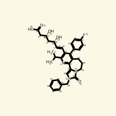 CC(C)c1nc2c(c(-c3ccc(F)cc3)c1/C=C/[C@@H](O)C[C@@H](O)CC(=O)O)CCCn1c-2cn(Cc2ccccc2)c1=O